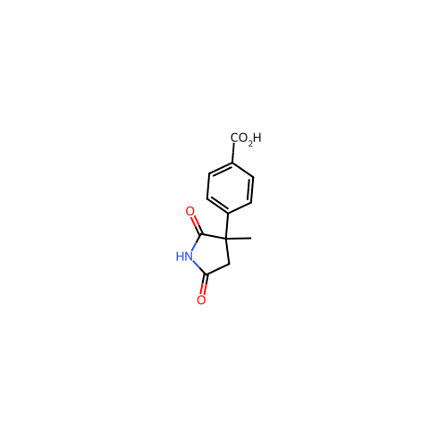 CC1(c2ccc(C(=O)O)cc2)CC(=O)NC1=O